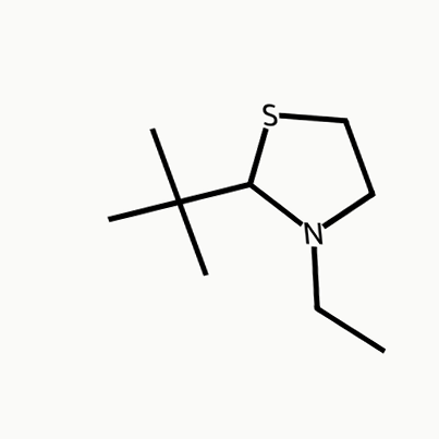 CCN1CCSC1C(C)(C)C